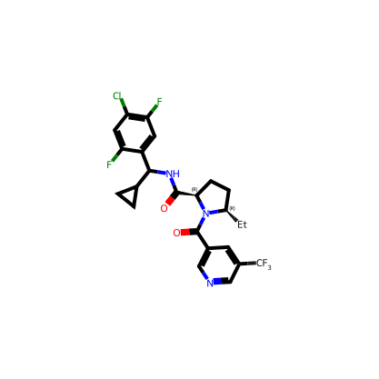 CC[C@@H]1CC[C@H](C(=O)NC(c2cc(F)c(Cl)cc2F)C2CC2)N1C(=O)c1cncc(C(F)(F)F)c1